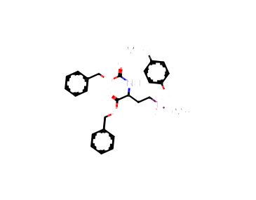 COc1ccc(OP(=O)(CCC(NC(=O)OCc2ccccc2)C(=O)OCc2ccccc2)OC)cc1